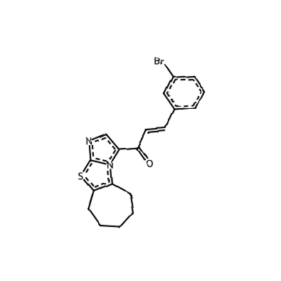 O=C(/C=C/c1cccc(Br)c1)c1cnc2sc3c(n12)CCCCC3